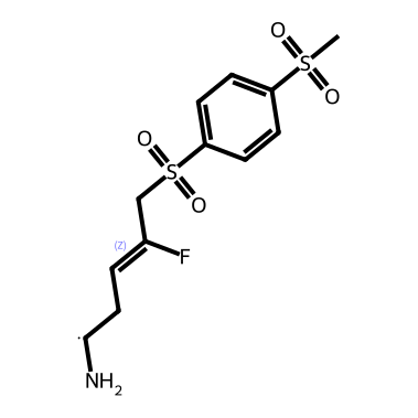 CS(=O)(=O)c1ccc(S(=O)(=O)C/C(F)=C/C[CH]N)cc1